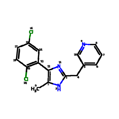 Cc1[nH]c(Cc2cccnc2)nc1-c1cc(Cl)ccc1Cl